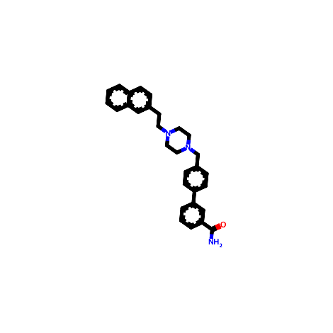 NC(=O)c1cccc(-c2ccc(CN3CCN(CCc4ccc5ccccc5c4)CC3)cc2)c1